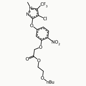 [CH2]CCCOCCOC(=O)COc1cc(Oc2nn(C)c(C(F)(F)F)c2Cl)ccc1[N+](=O)[O-]